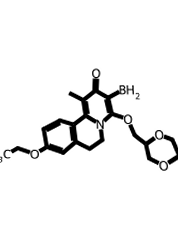 Bc1c(OCC2COCCO2)n2c(c(C)c1=O)-c1ccc(OCC(F)(F)F)cc1CC2